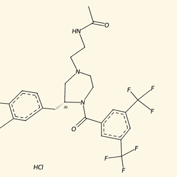 CC(=O)NCCN1CCN(C(=O)c2cc(C(F)(F)F)cc(C(F)(F)F)c2)[C@H](Cc2ccc(C)c(C)c2)C1.Cl